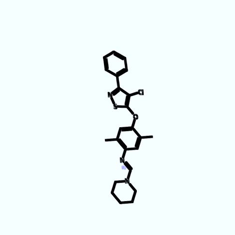 Cc1cc(Oc2snc(-c3ccccc3)c2Cl)c(C)cc1/N=C/N1CCCCC1